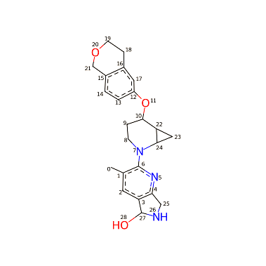 Cc1cc2c(nc1N1CCC(Oc3ccc4c(c3)CCOC4)C3CC31)CNC2O